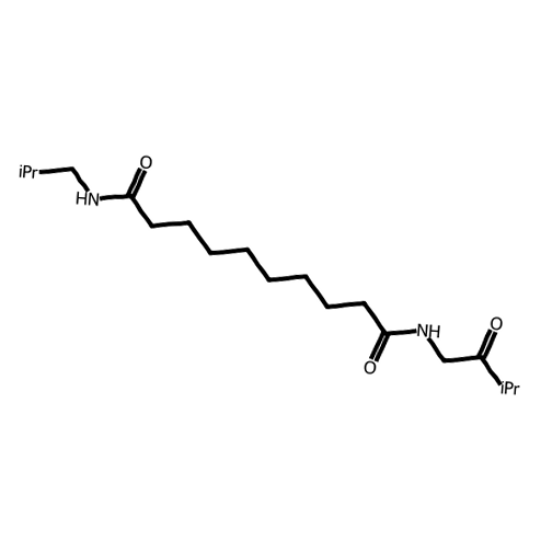 CC(C)CNC(=O)CCCCCCCCC(=O)NCC(=O)C(C)C